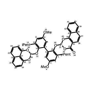 CCCC(C)c1cc(OC)cc(-c2cc(OC)cc(C(C)CCC)c2OP2Oc3cccc4cccc(c34)O2)c1OP1OC(=O)c2ccc3ccccc3c2O1